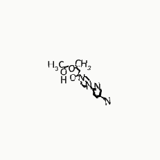 CC(CC(=O)N1CCN(c2ccc(C#N)cn2)CC1)OC[C@@H](C)O